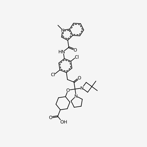 Cn1cc(C(=O)Nc2cc(Cl)c(CC(=O)C(OC3CCC(C(=O)O)CC3)(N3CCCC3)N3CC(C)(C)C3)cc2Cl)c2ccccc21